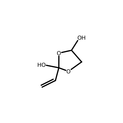 C=CC1(O)OCC(O)O1